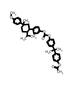 COc1ccc(C2(C)CCC(C(C)C)C(c3ccc(OC(=O)Oc4ccc(C(C)(C)c5ccc(OC(C)=O)cc5)cc4)cc3)C2)cc1